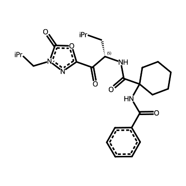 CC(C)C[C@H](NC(=O)C1(NC(=O)c2ccccc2)CCCCC1)C(=O)c1nn(CC(C)C)c(=O)o1